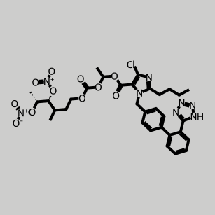 CCCCc1nc(Cl)c(C(=O)OC(C)OC(=O)OCCC(C)[C@@H](O[N+](=O)[O-])[C@@H](C)O[N+](=O)[O-])n1Cc1ccc(-c2ccccc2-c2nnn[nH]2)cc1